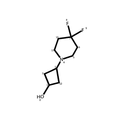 OC1CC(N2CCC(F)(F)CC2)C1